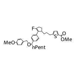 CCCCCC(OCc1ccc(OC)cc1)c1ccc(C2=C(F)CCC2CCCc2ccc(C(=O)OC)s2)cc1